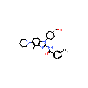 Cc1c(N2CCCCC2)ccc2c1nc(NC(=O)c1cccc(C(F)(F)F)c1)n2[C@H]1CC[C@@H](CO)CC1